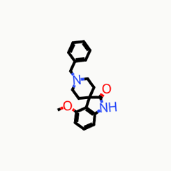 COc1cccc2c1C1(CCN(Cc3ccccc3)CC1)C(=O)N2